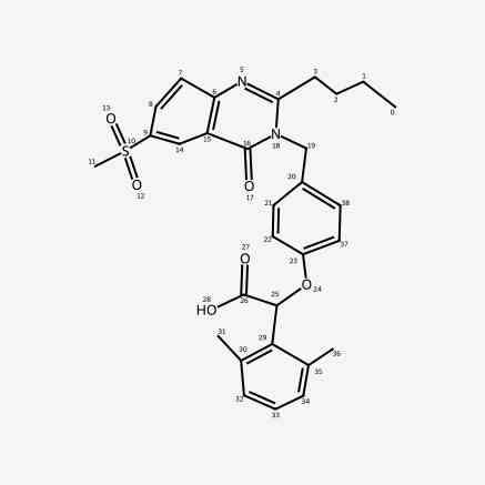 CCCCc1nc2ccc(S(C)(=O)=O)cc2c(=O)n1Cc1ccc(OC(C(=O)O)c2c(C)cccc2C)cc1